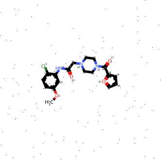 COc1ccc(Cl)c(NC(=O)CN2CCN(C(=O)c3ccco3)CC2)c1